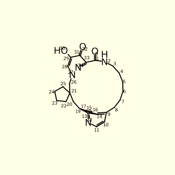 O=C1NCCCCCCc2ccnc3c2C=CCCC3CC2(CCCC2)Cn2cc(O)c(=O)c1n2